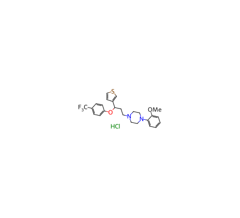 COc1ccccc1N1CCN(CCC(Oc2ccc(C(F)(F)F)cc2)c2ccsc2)CC1.Cl